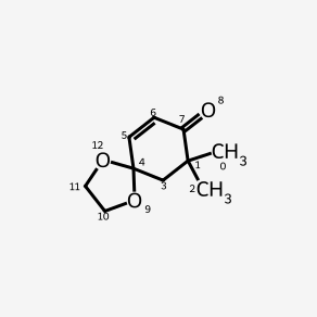 CC1(C)CC2(C=CC1=O)OCCO2